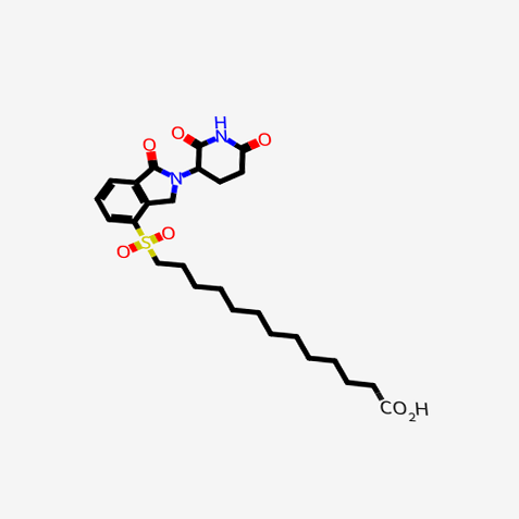 O=C(O)CCCCCCCCCCCCS(=O)(=O)c1cccc2c1CN(C1CCC(=O)NC1=O)C2=O